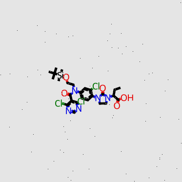 CCC(C(=O)O)N1CCN(c2ccc(N(CCO[Si](C)(C)C(C)(C)C)C(=O)c3c(Cl)ncnc3Cl)cc2Cl)C1=O